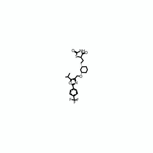 CC(C)c1oc(-c2ccc(C(F)(F)F)cc2)nc1CO[C@H]1CCC[C@@H](CCC2SC(=O)NC2=O)C1